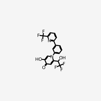 O=c1cc(C(O)C(F)(F)F)n(-c2cccc(-c3cccc(C(F)(F)F)n3)c2)cc1O